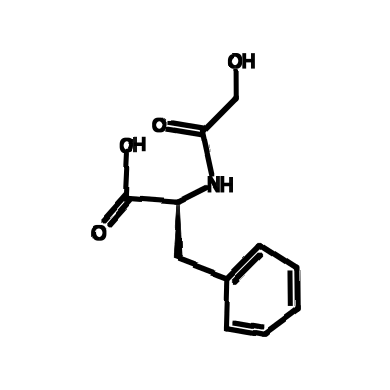 O=C(CO)N[C@@H](Cc1ccccc1)C(=O)O